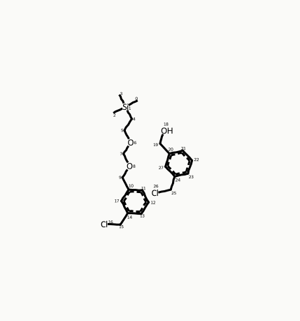 C[Si](C)(C)CCOCOCc1cccc(CCl)c1.OCc1cccc(CCl)c1